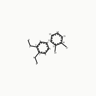 CCc1ccccc1CC.Cc1ccccc1C